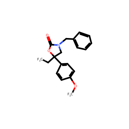 O=C1OC(CC(F)(F)F)(c2ccc(OC(F)(F)F)cc2)CN1Cc1ccccc1